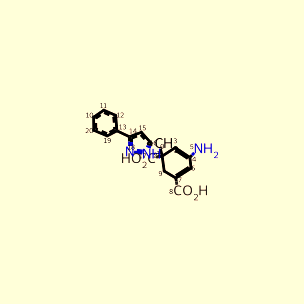 CC1(C(=O)O)C=C(N)C=C(C(=O)O)C1.c1ccc(-c2cc[nH]n2)cc1